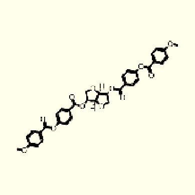 COc1ccc(C(=O)Oc2ccc(C(=O)OC3CO[C@H]4[C@@H]3OC[C@H]4OC(=O)c3ccc(OC(=O)c4ccc(OC)cc4)cc3)cc2)cc1